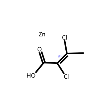 C/C(Cl)=C(\Cl)C(=O)O.[Zn]